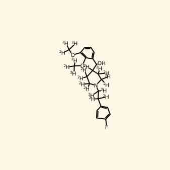 [2H]C([2H])([2H])Oc1cccc(C(O)C2([2H])C([2H])([2H])C([2H])([2H])N(C([2H])([2H])C([2H])([2H])c3ccc(F)cc3)C([2H])([2H])C2([2H])[2H])c1OC([2H])([2H])[2H]